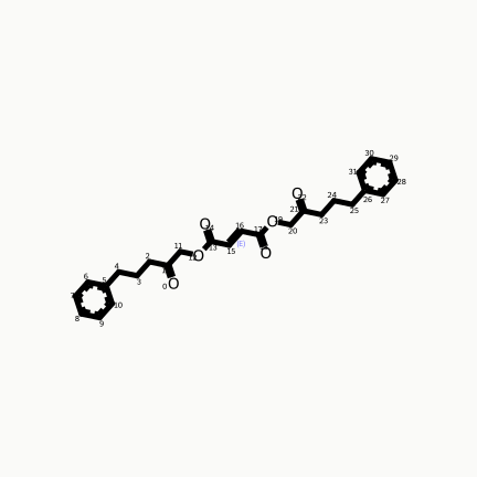 O=C(CCCc1ccccc1)COC(=O)/C=C/C(=O)OCC(=O)CCCc1ccccc1